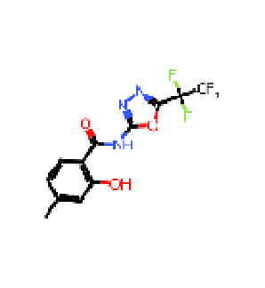 Cc1ccc(C(=O)Nc2nnc(C(F)(F)C(F)(F)F)o2)c(O)c1